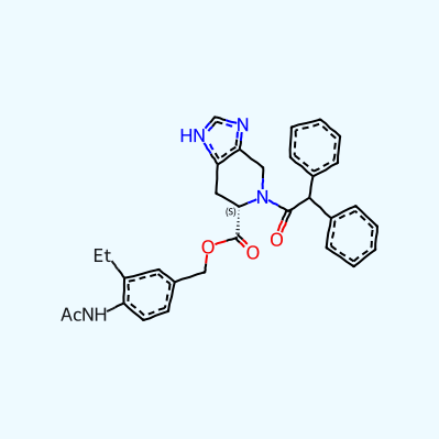 CCc1cc(COC(=O)[C@@H]2Cc3[nH]cnc3CN2C(=O)C(c2ccccc2)c2ccccc2)ccc1NC(C)=O